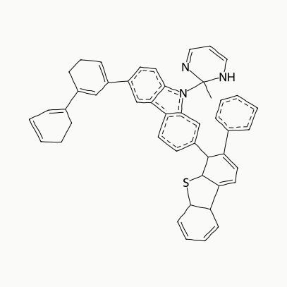 CC1(n2c3ccc(C4=CCCC(C5=CC=CCC5)=C4)cc3c3ccc(C4C(c5ccccc5)=CC=C5C6C=CC=CC6SC54)cc32)N=CC=CN1